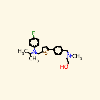 CC(C)N(CC1CC=C(c2ccc(CN(C)CCO)cc2)S1)c1ccc(F)cc1